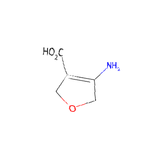 NC1=C(C(=O)O)COC1